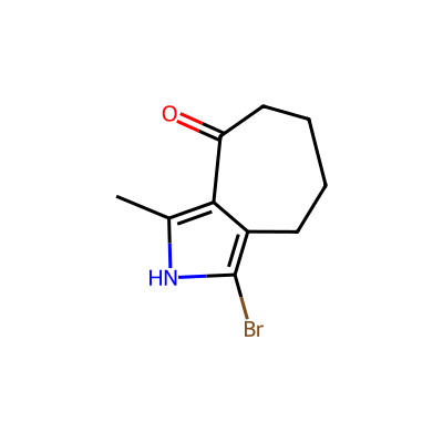 Cc1[nH]c(Br)c2c1C(=O)CCCC2